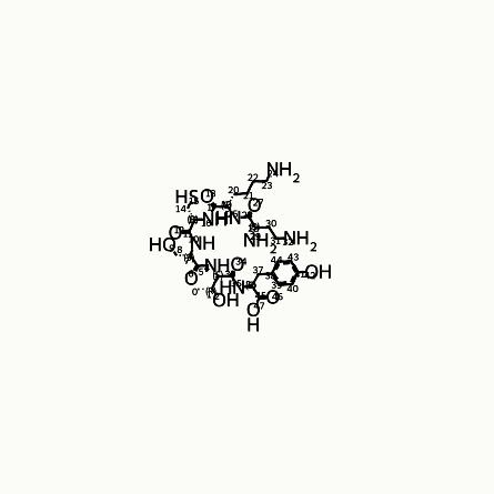 C[C@@H](O)[C@H](NC(=O)[C@H](CO)NC(=O)[C@H](CS)NC(=O)[C@H](CCCCN)NC(=O)[C@@H](N)CCN)C(=O)N[C@@H](Cc1ccc(O)cc1)C(=O)O